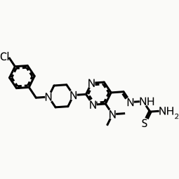 CN(C)c1nc(N2CCN(Cc3ccc(Cl)cc3)CC2)ncc1C=NNC(N)=S